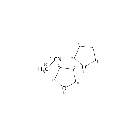 C1CCOC1.C1CCOC1.CC#N